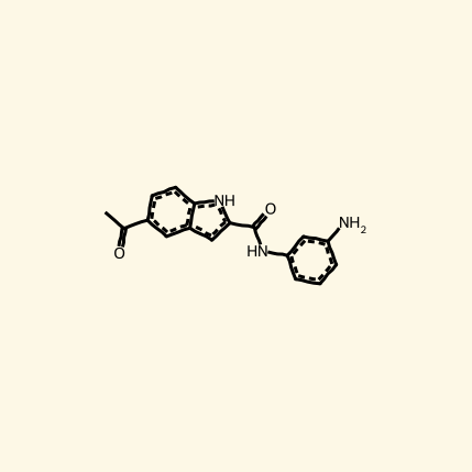 CC(=O)c1ccc2[nH]c(C(=O)Nc3cccc(N)c3)cc2c1